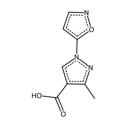 Cc1nn(-c2ccno2)cc1C(=O)O